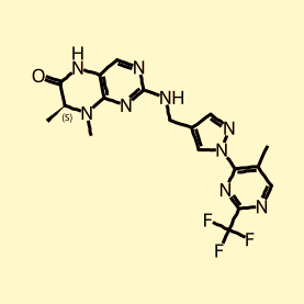 Cc1cnc(C(F)(F)F)nc1-n1cc(CNc2ncc3c(n2)N(C)[C@@H](C)C(=O)N3)cn1